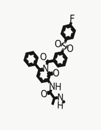 CNC(C)C(=O)Nc1ccc(-c2ccccc2)n(C(=O)c2cccc(S(=O)(=O)c3ccc(F)cc3)c2)c1=O